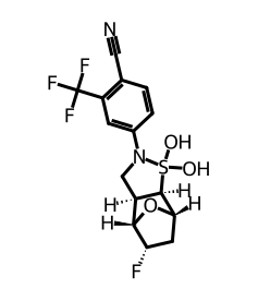 N#Cc1ccc(N2C[C@@H]3[C@@H]4O[C@@H](C[C@@H]4F)[C@@H]3S2(O)O)cc1C(F)(F)F